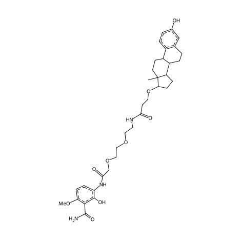 COc1ccc(NC(=O)COCCOCCNC(=O)CCOC2CCC3C4CCc5cc(O)ccc5C4CCC23C)c(O)c1C(N)=O